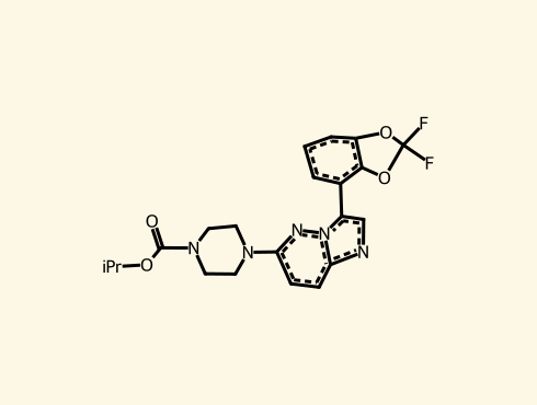 CC(C)OC(=O)N1CCN(c2ccc3ncc(-c4cccc5c4OC(F)(F)O5)n3n2)CC1